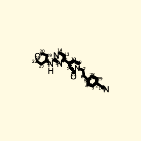 N#Cc1ccc(CCn2ccc(-c3ccnc(NC4CCOCC4)n3)cc2=O)cc1